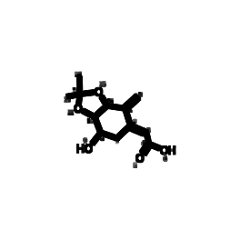 C=C1C(=CC(=O)O)CC(O)C2OC(C)(C)OC12